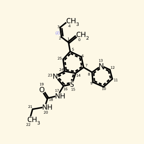 C=C(/C=C\C)c1cc(-c2ccccn2)c2sc(NC(=O)NCC)nc2c1